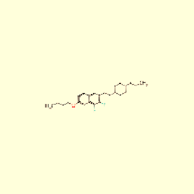 CCCCOc1ccc2cc(CCC3CCC(CCC)CC3)c(F)c(F)c2c1